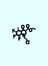 CCOC(=O)c1cn(CCCl)c2c(F)c(F)c(F)c(C)c2c1=O